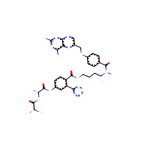 CC(C)[C@H](N)C(=O)N[C@@H](C)C(=O)Nc1ccc(C(=O)NCCC[C@@H](C)N(C=O)C(=O)c2ccc(NCc3cnc4nc(N)nc(N)c4n3)cc2)c(-c2nn[nH]n2)c1